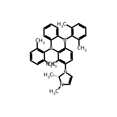 Cc1cccc(C)c1B1c2ccccc2B(c2c(C)cccc2C)c2c1ccc(N1C=CN(C)[C@@H]1C)c2C